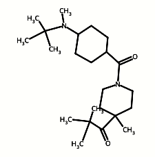 CN(C1CCC(C(=O)N2CCC(C)(C(=O)C(C)(C)C)CC2)CC1)C(C)(C)C